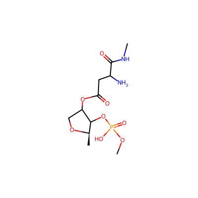 CNC(=O)C(N)CC(=O)OC1CO[C@H](C)C1OP(=O)(O)OC